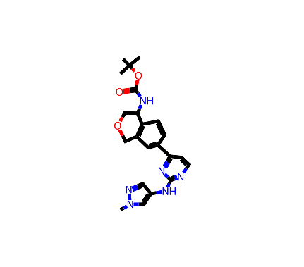 Cn1cc(Nc2nccc(-c3ccc4c(c3)COCC4NC(=O)OC(C)(C)C)n2)cn1